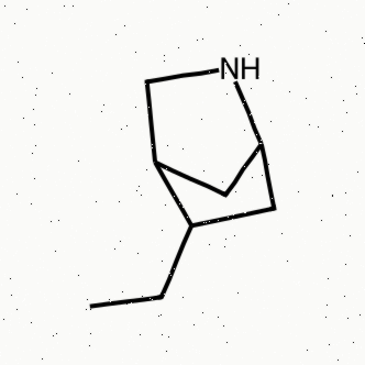 CCC1CC2CC1CN2